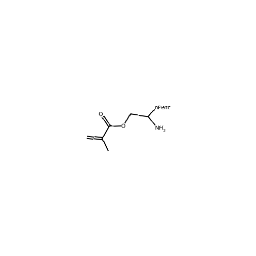 C=C(C)C(=O)OCC(N)CCCCC